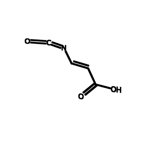 O=C=NC=CC(=O)O